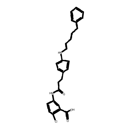 O=C(CCc1ccc(NCCCCCc2ccccc2)cc1)Nc1ccc(Cl)c(C(=O)O)c1